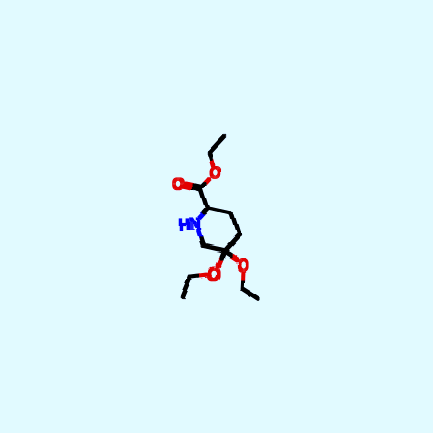 CCOC(=O)C1CCC(OCC)(OCC)CN1